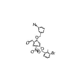 Cc1c(Br)cccc1COc1cc(OCc2cccc(C#N)c2)c(C=O)cc1[N+](=O)[O-]